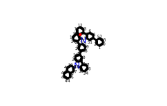 c1ccc(-c2ccc(-c3ccccc3)c(-n3c4ccccc4c4cc(-c5ccc6c(c5)c5ccccc5n6-c5ccc6ccccc6c5)ccc43)c2)cc1